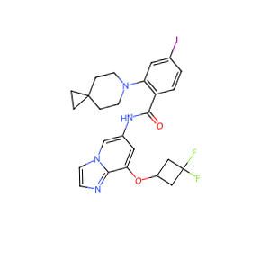 O=C(Nc1cc(OC2CC(F)(F)C2)c2nccn2c1)c1ccc(I)cc1N1CCC2(CC1)CC2